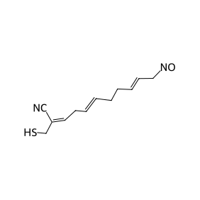 N#C/C(=C\C/C=C/CC/C=C/CN=O)CS